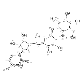 CC1C(O)[C@H](O)[C@H](CO)O[C@@H]1O[C@@H]1O[C@H](C[C@@H](O)C2O[C@@H](n3ccc(=O)[nH]c3=O)[C@H](O)[C@@H]2O)C(O)C(O)[C@H]1N